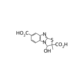 CC1(C(=O)O)Sc2nc3cc(C(=O)O)ccc3n2C1O